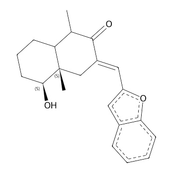 CC1C(=O)C(=Cc2cc3ccccc3o2)C[C@@]2(C)C1CCC[C@@H]2O